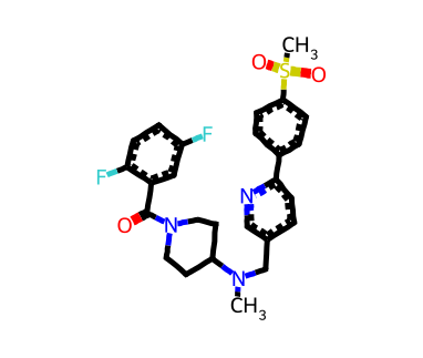 CN(Cc1ccc(-c2ccc(S(C)(=O)=O)cc2)nc1)C1CCN(C(=O)c2cc(F)ccc2F)CC1